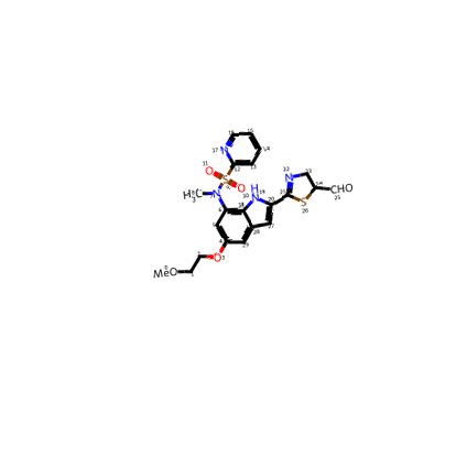 COCCOc1cc(N(C)S(=O)(=O)c2ccccn2)c2[nH]c(C3=NCC(C=O)S3)cc2c1